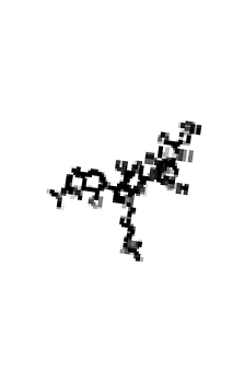 CN(C)c1cnc2ccc(-c3cn(COCC[Si](C)(C)C)c4nc(N5C[C@@H]6CC[C@@H]5[C@H](NC(=O)OC(C)(C)C)C6)n(C)c(=O)c34)c(Cl)c2n1